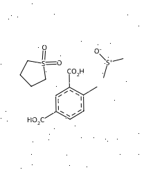 C[S+](C)[O-].Cc1ccc(C(=O)O)cc1C(=O)O.O=S1(=O)CCCC1